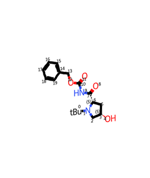 CC(C)(C)N1C[C@@H](O)C[C@H]1C(=O)NC(=O)OCc1ccccc1